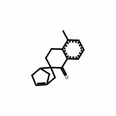 Cc1cccc2c1CCC1(CC3=CCC1C3)C2=O